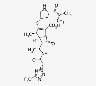 C[C@@H](NC(=O)Cn1nnc(C(F)(F)F)n1)[C@H]1C(=O)N2C(C(=O)O)=C(S[C@@H]3CN[C@H](C(=O)N(C)C)C3)[C@H](C)[C@H]12